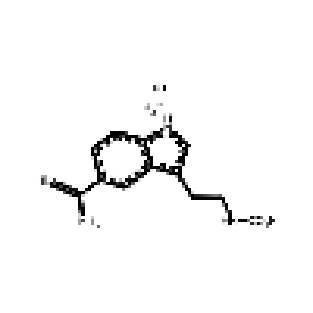 Cl.N=C(N)c1ccc2[nH]cc(CCNC(=O)O)c2c1.O